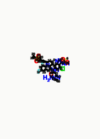 Cn1nc(NS(C)(=O)=O)c2c(Cl)ccc(-c3ccc(C#CC(C)(C)S(=O)(=O)C4CC4)nc3[C@H](Cc3cc(F)cc(F)c3)NC(=O)Cc3nccn3N)c21